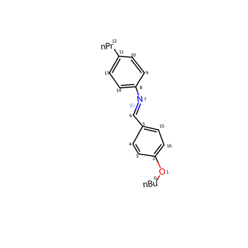 CCCCOc1ccc(/C=N/c2ccc(CCC)cc2)cc1